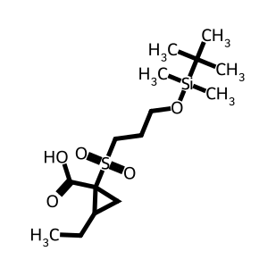 CCC1CC1(C(=O)O)S(=O)(=O)CCCO[Si](C)(C)C(C)(C)C